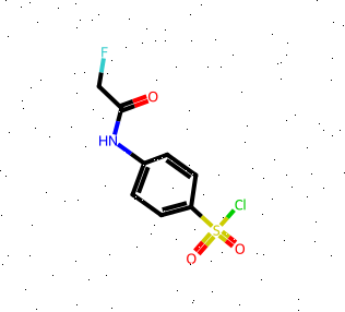 O=C(CF)Nc1ccc(S(=O)(=O)Cl)cc1